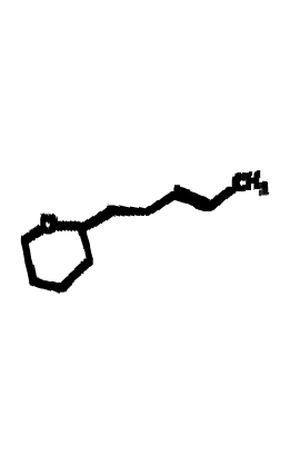 C/C=C/CCC1CCCCO1